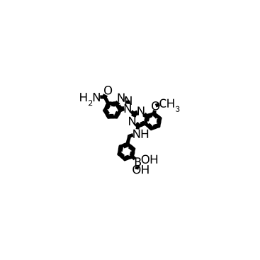 COc1cccc2c(NCc3cccc(B(O)O)c3)nc(-n3nnc4c(C(N)=O)cccc43)nc12